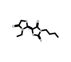 CCCCN1C(=O)/C(=C2\SCC(=O)N2CC)SC1=S